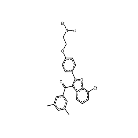 CCc1cccc2c(C(=O)c3cc(C)cc(C)c3)c(-c3ccc(OCCN(CC)CC)cc3)oc12